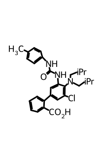 Cc1ccc(NC(=O)Nc2cc(-c3ccccc3C(=O)O)cc(Cl)c2N(CC(C)C)CC(C)C)cc1